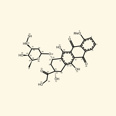 COc1cccc2c1C(=O)c1c(O)c3c(c(O)c1C2=O)C[C@@](O)(C(=O)CO)C[C@@H]3OC1C[C@H](NS)[C@H](O)[C@H](C)O1